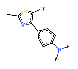 CCN(CC)c1ccc(-c2nc(C)sc2C(F)(F)F)cc1